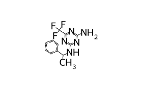 CC(Nc1nc(N)nc(C(F)(F)F)n1)c1ccccc1